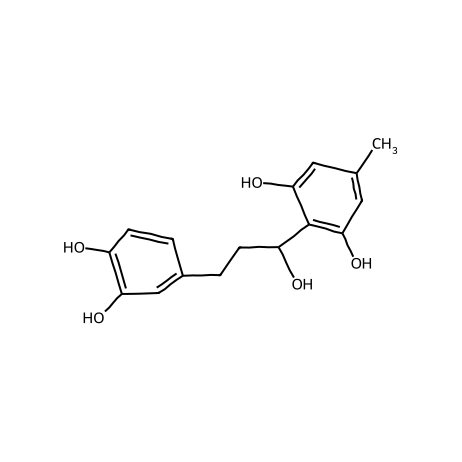 Cc1cc(O)c(C(O)CCc2ccc(O)c(O)c2)c(O)c1